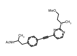 COCCN(C)c1nccc(C#Cc2ccc(CC(C)NC(C)=O)cc2)n1